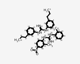 CCCc1cccc(NC(=N)Nc2cccc(CCC)c2)c1.Cc1ccccc1NC(=N)Nc1ccc([N+](=O)[O-])cc1C